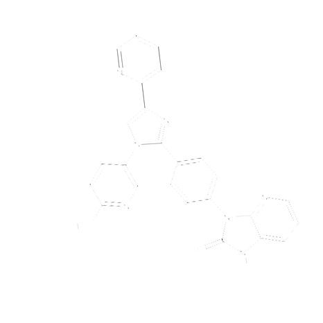 Cc1ccc(-n2cc(-c3ccccn3)nc2-c2ccc(-n3c(=O)[nH]c4cccnc43)cc2)cn1